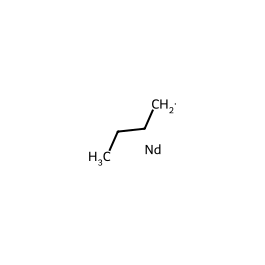 [CH2]CCC.[Nd]